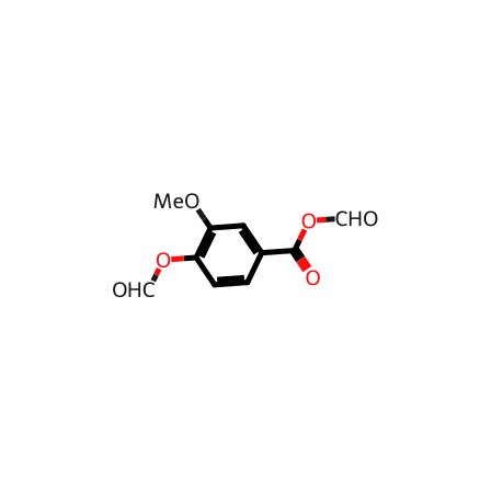 COc1cc(C(=O)OC=O)ccc1OC=O